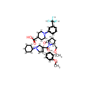 COC[C@@H]1C[C@@H](c2ccc(C(F)(F)F)cc2N2CCC(C(=O)O)CC2)CN1C(=O)[C@]1(OC)CN(C2CCCCC2)C[C@H]1c1ccc(OC)cc1